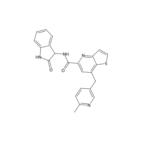 Cc1ccc(Cc2cc(C(=O)NC3C(=O)Nc4ccccc43)nc3ccsc23)cn1